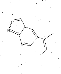 C/C=C(/C)c1cnc2nccn2c1